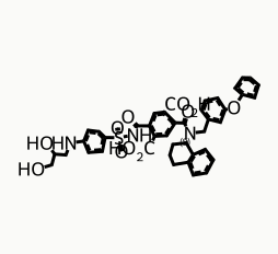 O=C(O)c1cc(C(=O)N(Cc2cccc(Oc3ccccc3)c2)[C@H]2CCCc3ccccc32)c(C(=O)O)cc1C(=O)NS(=O)(=O)c1ccc(NCC(O)CO)cc1